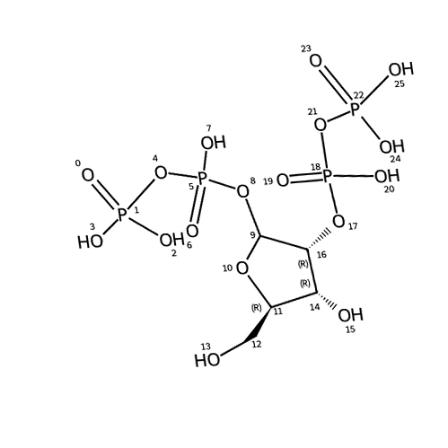 O=P(O)(O)OP(=O)(O)OC1O[C@H](CO)[C@@H](O)[C@H]1OP(=O)(O)OP(=O)(O)O